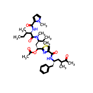 CC[C@H](C)[C@H](NC(=O)c1cccn1C)C(=O)N(C)[C@H](C[C@@H](OC(C)=O)c1nc(C(=O)N[C@@H](Cc2ccccc2)C[C@H](C)C(C)=O)cs1)C(C)C